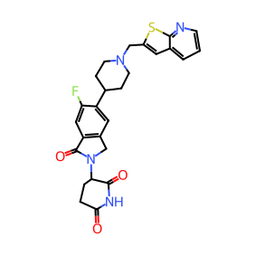 O=C1CCC(N2Cc3cc(C4CCN(Cc5cc6cccnc6s5)CC4)c(F)cc3C2=O)C(=O)N1